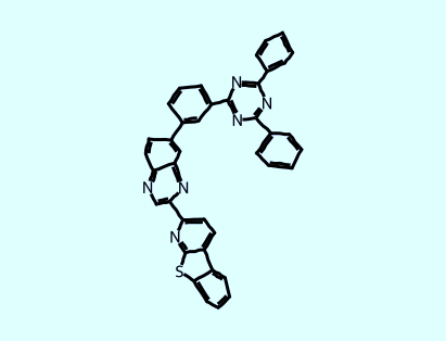 c1ccc(-c2nc(-c3ccccc3)nc(-c3cccc(-c4ccc5ncc(-c6ccc7c(n6)sc6ccccc67)nc5c4)c3)n2)cc1